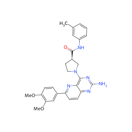 COc1ccc(-c2ccc3nc(N)nc(N4CC[C@@H](C(=O)Nc5cccc(C)c5)C4)c3n2)cc1OC